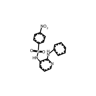 O=[N+]([O-])c1ccc(S(=O)(=O)Nc2cccnc2Nc2ccccc2)cc1